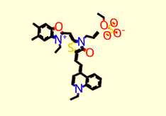 C=CCn1c(=Cc2oc3cc(C)c(C)cc3[n+]2CC)sc(=CC=C2C=CN(CC)c3ccccc32)c1=O.CCOS(=O)(=O)[O-]